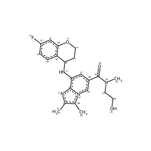 Cc1nc2c(NC3CCOc4cc(F)ccc43)cc(C(=O)N(C)CCO)cn2c1C